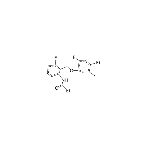 CCC(=O)Nc1cccc(F)c1COc1cc(C)c(CC)cc1F